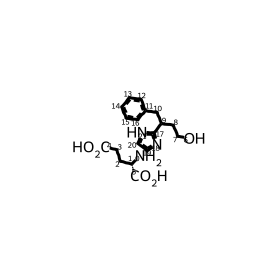 N[C@@H](CCC(=O)O)C(=O)O.OCCC(Cc1ccccc1)c1ncc[nH]1